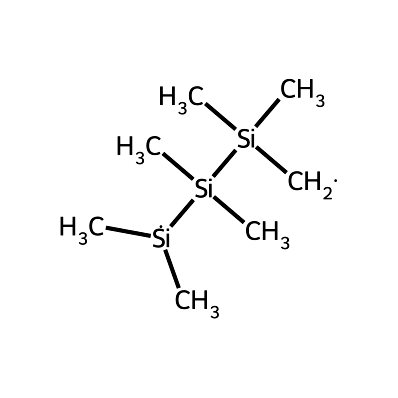 [CH2][Si](C)(C)[Si](C)(C)[Si](C)C